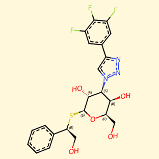 OC[C@H](S[C@@H]1O[C@H](CO)[C@H](O)[C@H](n2cc(-c3cc(F)c(F)c(F)c3)nn2)[C@H]1O)c1ccccc1